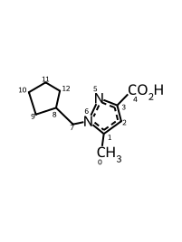 Cc1cc(C(=O)O)nn1CC1CCCC1